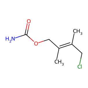 CC(CCl)=C(C)COC(N)=O